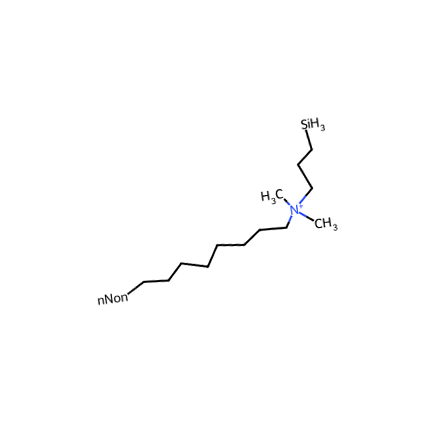 CCCCCCCCCCCCCCCCC[N+](C)(C)CCC[SiH3]